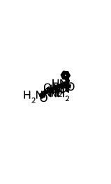 NC(=O)CNC(=O)C(N)CNCC(=O)NC(Cc1ccccc1)C(N)=O